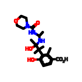 Cc1c(C(=O)O)ccc(O)c1C(C)(C)C(C)(O)NC(C)NC(=O)N1CCOCC1